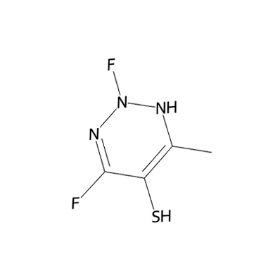 CC1=C(S)C(F)=NN(F)N1